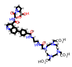 O=C(O)CN1CCN(CC(=O)O)CCN(CC(=O)NCCCNC(=O)c2ccc(-c3ccc4nccc(C(=O)NCC(=O)N5CCC[C@H]5B(O)O)c4c3)cc2)CCN(CC(=O)O)CC1